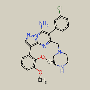 COc1cccc(-c2cnn3c(N)c(-c4cccc(Cl)c4)c(CN4CCNCC4)nc23)c1OC